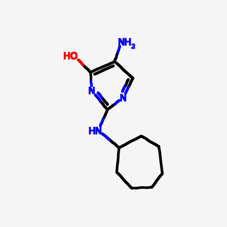 Nc1cnc(NC2CCCCCC2)nc1O